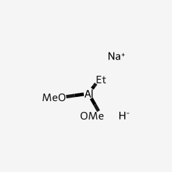 C[CH2][Al]([O]C)[O]C.[H-].[Na+]